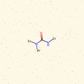 CCNC(=O)N(CC)C(C)C